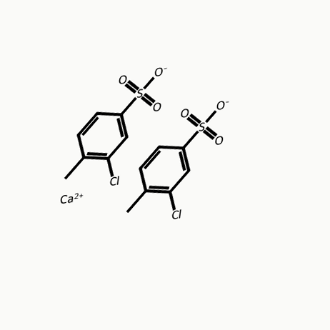 Cc1ccc(S(=O)(=O)[O-])cc1Cl.Cc1ccc(S(=O)(=O)[O-])cc1Cl.[Ca+2]